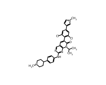 CC(C)n1c(=O)c(-c2c(Cl)cc(-c3ccn(C)c3)cc2Cl)cc2cnc(Nc3ccc(C4CCN(C)CC4)cc3)nc21